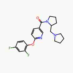 O=C(c1ccc(Oc2ccc(F)cc2F)nc1)N1CCCC1CN1CCCC1